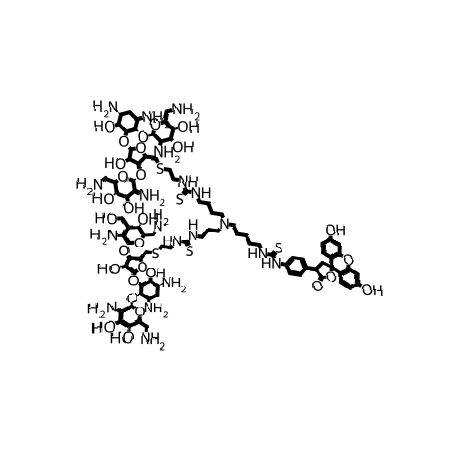 NCC1O[C@H](O[C@@H]2C(N)C[C@@H](N)C(O)C2OC2OC(CSCCNC(=S)NCCCCN(CCCCCNC(=S)Nc3ccc(C4CC5(OC4=O)c4ccc(O)cc4Oc4cc(O)ccc45)cc3)CCCNC(=S)NCCSCC3OC(OC4C(O)[C@H](N)CC(N)[C@H]4O[C@H]4OC(CN)[C@@H](O)C(O)C4N)C(O)C3O[C@H]3OC(CN)[C@@H](O)C(CO)C3N)C(O[C@H]3OC(CN)[C@@H](O)C(O)C3N)C2O)C(N)C(O)[C@@H]1O